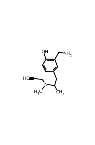 C#CCN(C)C(C)Cc1ccc(O)c(CN)c1